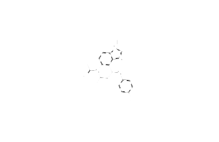 CC(=O)N1c2ccc3[nH]cnc3c2C(Nc2ccc(Cl)cc2)CC1C